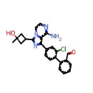 CC1(O)CC(c2nc(-c3ccc(-c4ccccc4C=O)c(Cl)c3)c3c(N)nccn23)C1